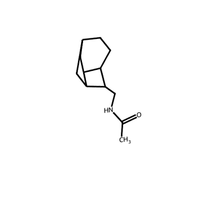 CC(=O)NCC1C2CCC3CC2C1C3